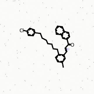 Cc1ccc(CCCCCCCc2ccc(Cl)cc2)c(/C=C/C(=O)c2ccc3ccccc3c2)c1